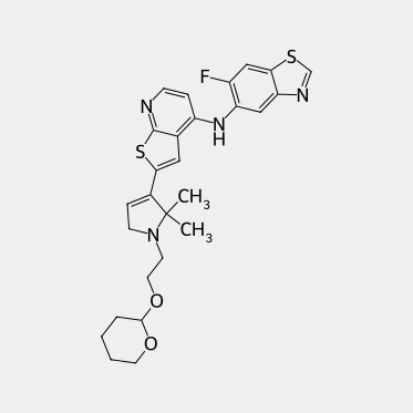 CC1(C)C(c2cc3c(Nc4cc5ncsc5cc4F)ccnc3s2)=CCN1CCOC1CCCCO1